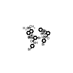 CN(C)c1cccc2c(S(=O)(=O)Nc3ccc(Br)cc3C(=O)Nc3ccc(Br)cc3)cccc12.O=C(Nc1ccc(Br)cc1)c1cccc(Br)c1NS(=O)(=O)c1ccccc1